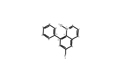 [O-][n+]1cccc2cc(F)cc(-c3ccccc3)c21